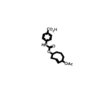 CC(=O)OC1/C=C/CC(OC(=O)Nc2ccc(C(=O)O)cc2)CCC1